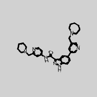 O=C(Nc1ccnc(CN2CCCCC2)c1)c1n[nH]c2ccc(-c3cncc(CN4CCCCCC4)c3)cc12